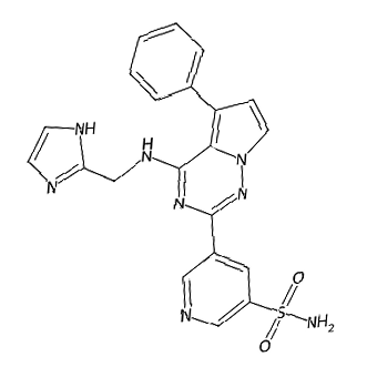 NS(=O)(=O)c1cncc(-c2nc(NCc3ncc[nH]3)c3c(-c4ccccc4)ccn3n2)c1